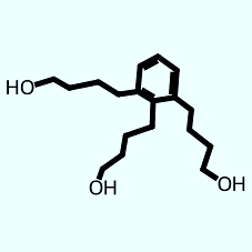 OCCCCc1cccc(CCCCO)c1CCCCO